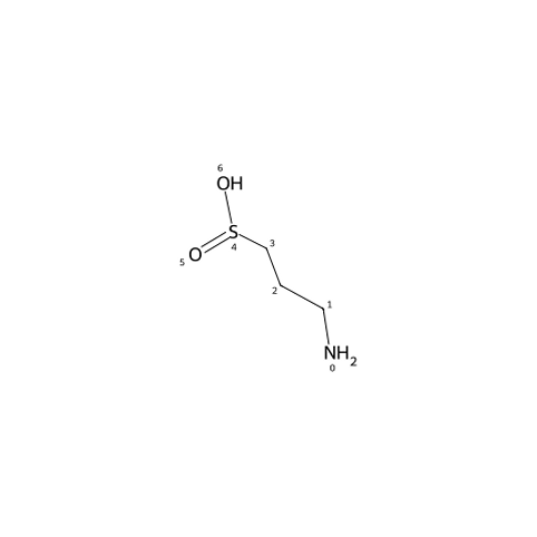 NCCCS(=O)O